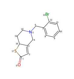 O=C1C=C2CN(Cc3ccccc3Br)CCC2S1